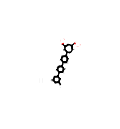 Cc1cc(C)cc(-c2ccc(-c3ccc(C4=CC(C=O)=CC(C=O)=CC4)cc3)cc2)c1